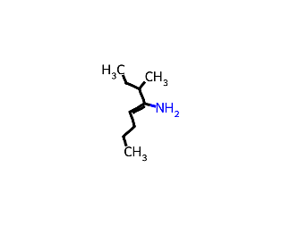 CCC/C=C(\N)C(C)CC